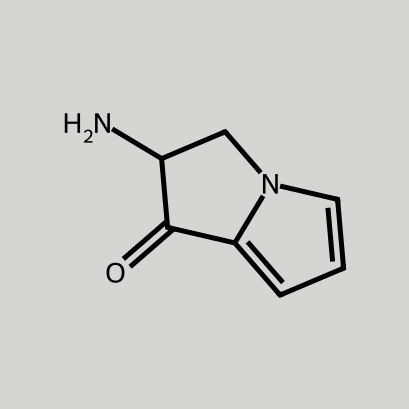 NC1Cn2cccc2C1=O